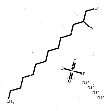 CCCCCCCCCCCCC([O-])C[O-].O=S(=O)([O-])[O-].[Na+].[Na+].[Na+].[Na+]